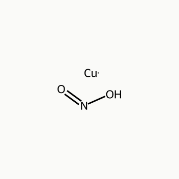 O=NO.[Cu]